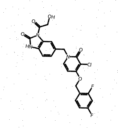 O=C(CO)n1c(=O)[nH]c2ccc(Cn3ccc(OCc4ccc(F)cc4F)c(Cl)c3=O)cc21